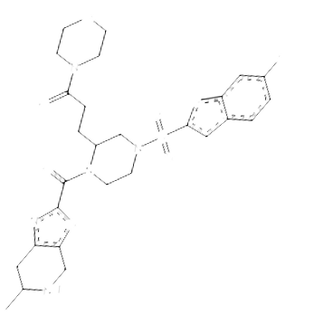 CC1Cc2nc(C(=O)N3CCN(S(=O)(=O)c4cc5ccc(Cl)cc5s4)CC3CCC(=O)N3CCOCC3)sc2CN1